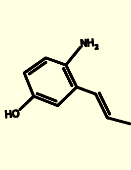 CC=Cc1cc(O)ccc1N